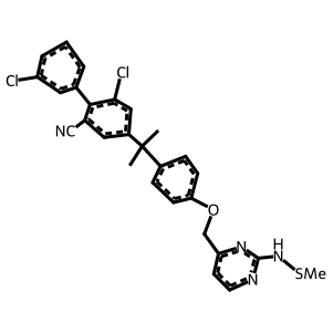 CSNc1nccc(COc2ccc(C(C)(C)c3cc(Cl)c(-c4cccc(Cl)c4)c(C#N)c3)cc2)n1